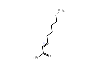 CCCC(=O)/C=C/CCCCC[C@@H](C)CC